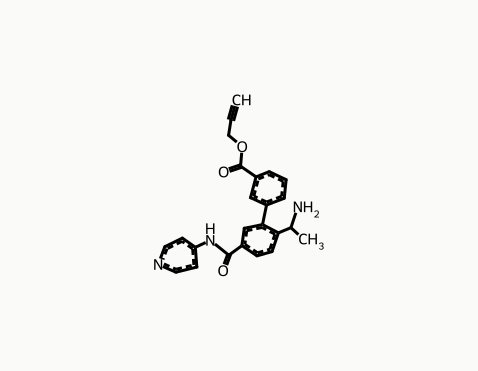 C#CCOC(=O)c1cccc(-c2cc(C(=O)Nc3ccncc3)ccc2C(C)N)c1